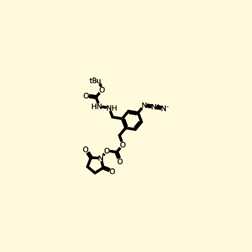 CC(C)(C)OC(=O)NNCc1cc(N=[N+]=[N-])ccc1COC(=O)ON1C(=O)CCC1=O